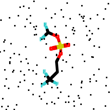 O=S(=O)(OCCC(F)(F)F)OC(F)F